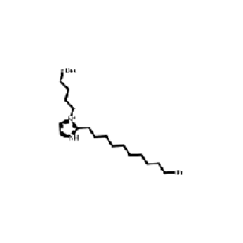 CCCCCCCCCCCCCC[n+]1cc[nH]c1CCCCCCCCCCC(C)C